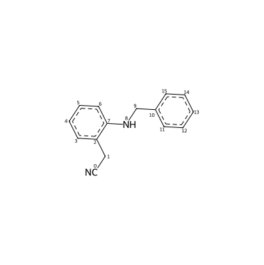 N#CCc1ccccc1NCc1ccccc1